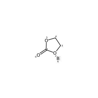 O=C1OCCO1.[B]